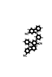 N#Cc1ccc2c(c1)c1ccccc1n2-c1ccccc1-c1ccc(C#N)c(-c2cccc(-n3c4ccccc4c4ccc(C#N)cc43)c2)c1